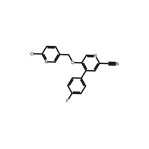 N#Cc1cc(-c2ccc(F)cc2)c(OCc2ccc(Cl)nc2)cn1